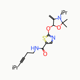 C=C1C(Oc2ncc(C(=O)NCCC#CC(C)C)s2)OC(C)(C)N1C(C)C